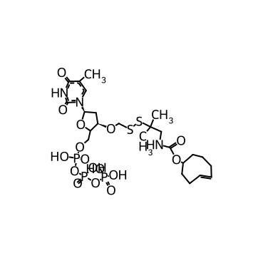 Cc1cn([C@H]2C[C@@H](OCSSC(C)(C)CNC(=O)OC3CC/C=C/CCC3)C(COP(=O)(O)OP(=O)(O)OP(=O)(O)O)O2)c(=O)[nH]c1=O